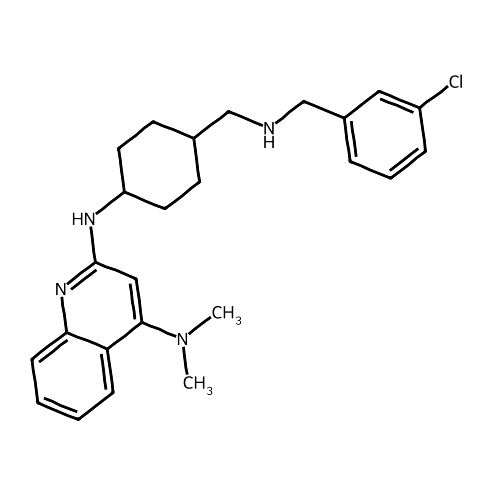 CN(C)c1cc(NC2CCC(CNCc3cccc(Cl)c3)CC2)nc2ccccc12